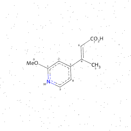 COc1cc(C(C)=CC(=O)O)ccn1